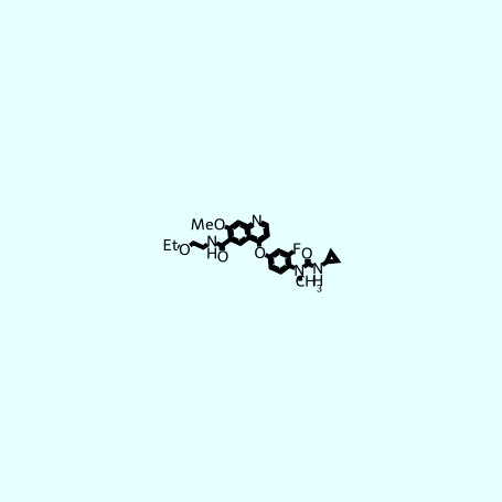 CCOCCNC(=O)c1cc2c(Oc3ccc(N(C)C(=O)NC4CC4)c(F)c3)ccnc2cc1OC